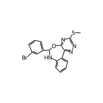 CSc1nnc2c(n1)OC(c1cccc(Br)c1)Nc1ccccc1-2